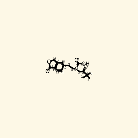 CC(C)(C)C(=O)CN(CCc1ccc2c(c1)COC2=O)C(=O)O